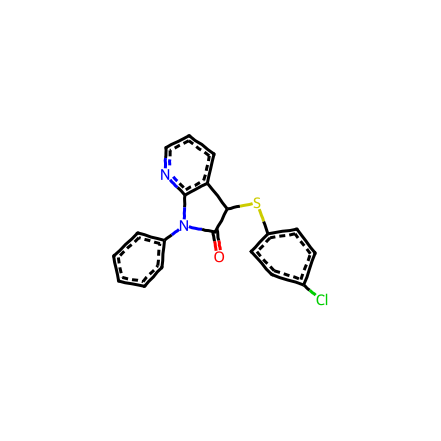 O=C1C(Sc2ccc(Cl)cc2)c2cccnc2N1c1ccccc1